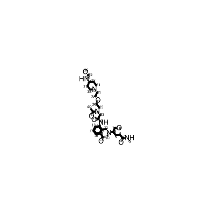 CNC(=O)CCC(C=O)N(C)Cc1c(C=O)cccc1NC(=O)CN(CCOCCN1CCC(NC=O)CC1)C(C)=O